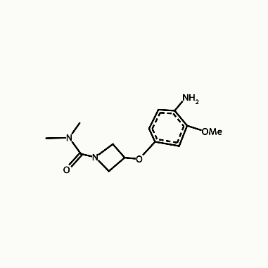 COc1cc(OC2CN(C(=O)N(C)C)C2)ccc1N